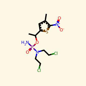 Cc1cc(C(C)OP(N)(=O)N(CCCl)CCCl)sc1[N+](=O)[O-]